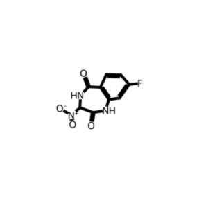 O=C1NC([N+](=O)[O-])C(=O)Nc2cc(F)ccc21